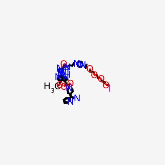 COc1cnc(-n2cnc(C(=O)NCCCN3CCN(CCOCCOCCOCCOCI)CC3)n2)c2[nH]cc(C(=O)C(=O)N3CCC(=C(C#N)c4ccccn4)CC3)c12